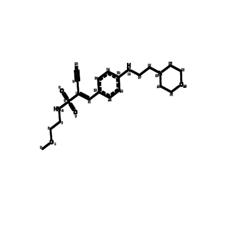 COCCNS(=O)(=O)/C(C#N)=C/c1ccc(NCCN2CCOCC2)cc1